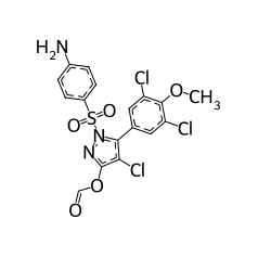 COc1c(Cl)cc(-c2c(Cl)c(OC=O)nn2S(=O)(=O)c2ccc(N)cc2)cc1Cl